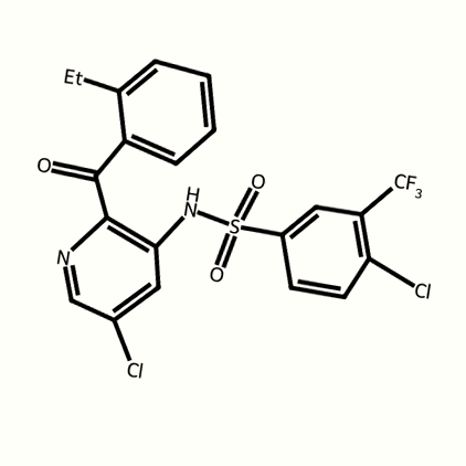 CCc1ccccc1C(=O)c1ncc(Cl)cc1NS(=O)(=O)c1ccc(Cl)c(C(F)(F)F)c1